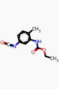 CCOC(=O)Nc1cc(N=C=O)ccc1C